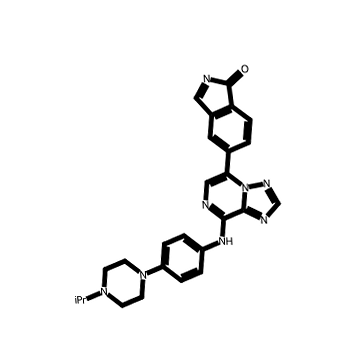 CC(C)N1CCN(c2ccc(Nc3ncc(-c4ccc5c(c4)C=NC5=O)n4ncnc34)cc2)CC1